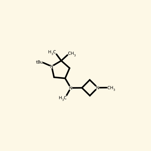 CN1CC(N(C)C2CN(C(C)(C)C)C(C)(C)C2)C1